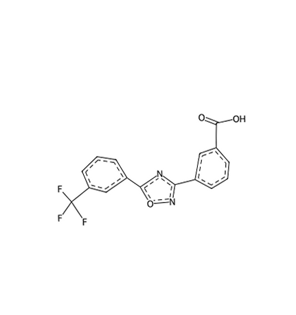 O=C(O)c1cccc(-c2noc(-c3cccc(C(F)(F)F)c3)n2)c1